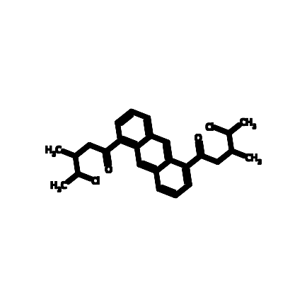 CC(Cl)C(C)CC(=O)c1cccc2cc3c(C(=O)CC(C)C(C)Cl)cccc3cc12